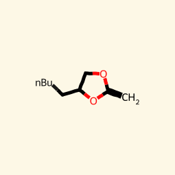 C=C1OCC(CCCCC)O1